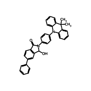 CC1(C)c2ccccc2N(c2ccc(N3C(=O)c4ccc(-c5ccccc5)cc4C3O)cc2)c2ccccc21